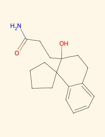 NC(=O)CCC1(O)CCc2ccccc2C12CCCC2